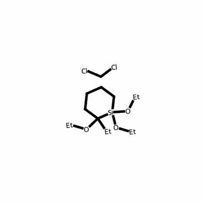 CCOC1(CC)CCCC[Si]1(OCC)OCC.ClCCl